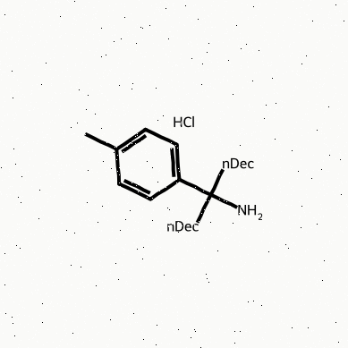 CCCCCCCCCCC(N)(CCCCCCCCCC)c1ccc(C)cc1.Cl